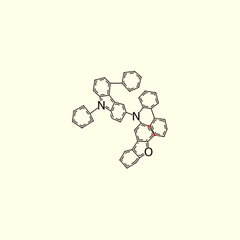 c1ccc(-c2ccccc2N(c2ccc3oc4ccccc4c3c2)c2ccc3c(c2)c2c(-c4ccccc4)cccc2n3-c2ccccc2)cc1